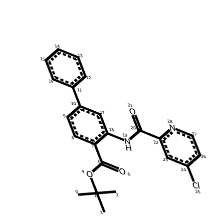 CC(C)(C)OC(=O)c1ccc(-c2ccccc2)cc1NC(=O)c1cc(Cl)ccn1